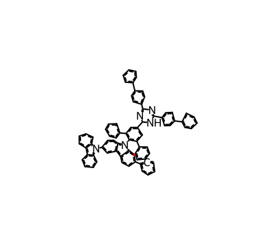 c1ccc(-c2ccc(C3=NC(c4cc(-c5ccccc5)c(-n5c6ccc(-n7c8ccccc8c8ccccc87)cc6c6ccc(-c7ccccc7)cc65)c(-c5ccccc5)c4)NC(c4ccc(-c5ccccc5)cc4)=N3)cc2)cc1